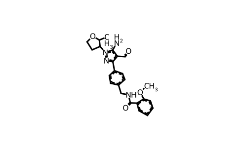 COc1ccccc1C(=O)NCc1ccc(-c2nn(C3CCOC3C)c(N)c2C=O)cc1